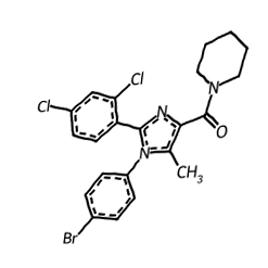 Cc1c(C(=O)N2CCCCC2)nc(-c2ccc(Cl)cc2Cl)n1-c1ccc(Br)cc1